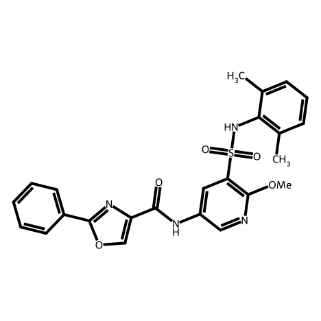 COc1ncc(NC(=O)c2coc(-c3ccccc3)n2)cc1S(=O)(=O)Nc1c(C)cccc1C